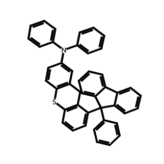 c1ccc(N(c2ccccc2)c2ccc3c(c2)Cc2c(cccc2C2(c4ccccc4)c4ccccc4-c4ccccc42)S3)cc1